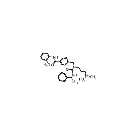 CC(NC(=O)N(CCCN(C)C)Cc1ccc(C(=O)Nc2ccccc2N)cc1)c1ccccc1